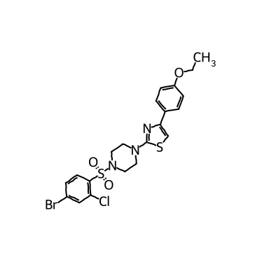 CCOc1ccc(-c2csc(N3CCN(S(=O)(=O)c4ccc(Br)cc4Cl)CC3)n2)cc1